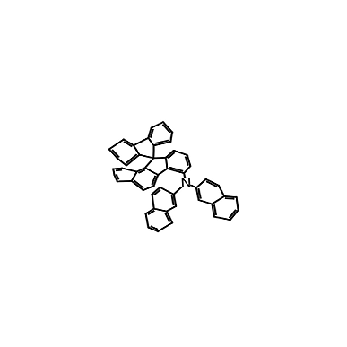 c1ccc2c(c1)-c1ccccc1C21c2cccc(N(c3ccc4ccccc4c3)c3ccc4ccccc4c3)c2-c2ccc3ccccc3c21